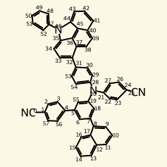 N#Cc1ccc(-c2cc(-c3cccc4ccccc34)cc(N(c3ccc(C#N)cc3)c3ccc(-c4ccc5c6c4ccc4cccc(c46)n5-c4ccccc4)cc3)c2)cc1